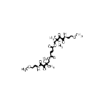 COCCNC(=O)C(=O)C(C)(C)COC(=O)/C=C/C(=O)OCC(C)(C)C(=O)C(=O)NCCOC